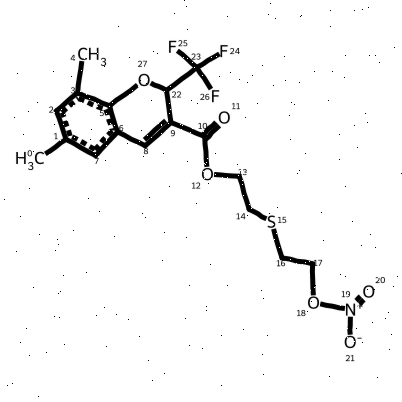 Cc1cc(C)c2c(c1)C=C(C(=O)OCCSCCO[N+](=O)[O-])C(C(F)(F)F)O2